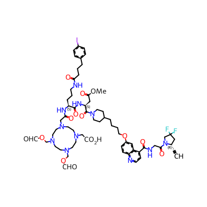 C#C[C@H]1CC(F)(F)CN1C(=O)CNC(=O)c1ccnc2ccc(OCCCCC3CCN(C(=O)[C@H](CC(=O)OC)NC(=O)[C@H](CCCNC(=O)CCCc4ccc(I)cc4)NC(=O)CN4CCN(COC=O)CCN(COC=O)CCN(CC(=O)O)CC4)CC3)cc12